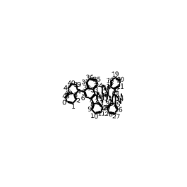 c1ccc2c(-c3cc4c5ccccc5n(-c5nc6ccccc6c6nc7ccccc7n56)c4c4ccccc34)cccc2c1